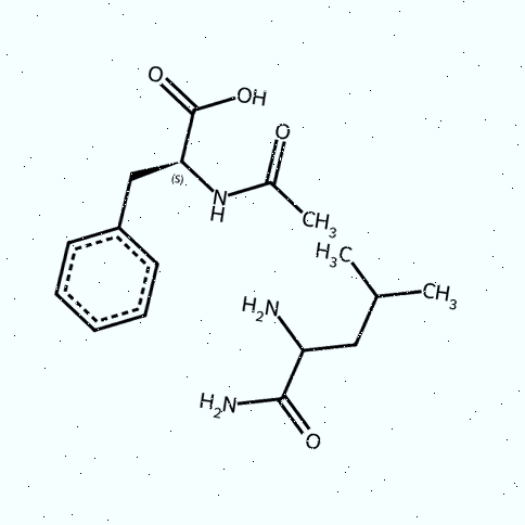 CC(=O)N[C@@H](Cc1ccccc1)C(=O)O.CC(C)CC(N)C(N)=O